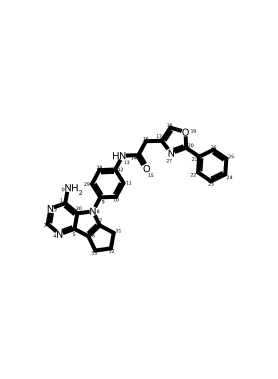 Nc1ncnc2c3c(n(-c4ccc(NC(=O)Cc5coc(-c6ccccc6)n5)cc4)c12)CCC3